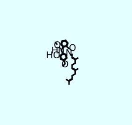 COc1cc(O)c2c(c1)N(C/C=C(\C)CC/C=C(\C)CCC=C(C)C)C(=O)c1cccc(OC)c1N2